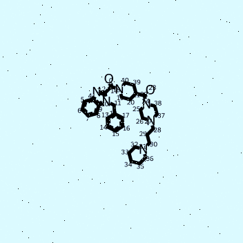 O=C(c1nc2ccccc2n1Cc1ccccc1)N1CCC(C(=O)N2CCN(CCCN3CCCCC3)CC2)CC1